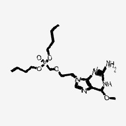 CCCCOP(=O)(COCCn1cnc2c1N=C(N)NC2OC)OCCCC